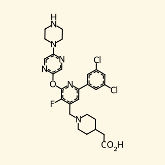 O=C(O)CC1CCN(Cc2cc(-c3cc(Cl)cc(Cl)c3)nc(Oc3cnc(N4CCNCC4)cn3)c2F)CC1